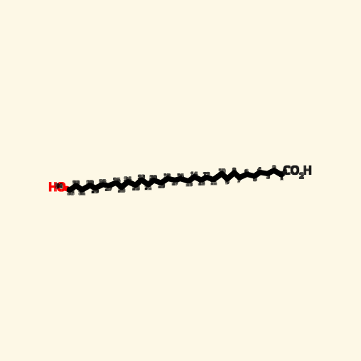 O=C(O)CCCCCCCCCCCCCCCCCCCCCCCCCCCCCCCCCO